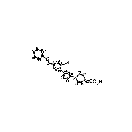 Cc1nc(COc2ncccn2)sc1-c1nc(-c2ccc(C(=O)O)cc2)cs1